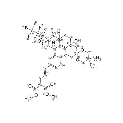 COC(=O)C(C/C=C/c1ccc(C2CC3(C[C@]4(O)CC[C@@H]5C(=C24)CC[C@@]2(C)[C@H]5CC[C@@]2(O)C(F)(F)C(F)(F)F)OCC(C)(C)CO3)cc1)C(=O)OC